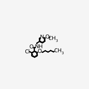 CCCCCCOc1cccc(Cl)c1C(=O)NCc1ccc(OC)nc1